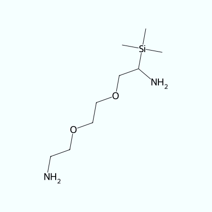 C[Si](C)(C)C(N)COCCOCCN